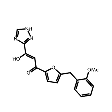 COc1ccccc1Cc1ccc(C(=O)C=C(O)c2nc[nH]n2)o1